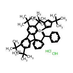 CCC1C=C(C(C)(C)C)C=[C]1[Zr](=[C](c1ccccc1)c1ccccc1)[c]1c2c(cc(C(C)(C)C)c1C(C)(C)C)-c1cc(C(C)(C)C)c(C(C)(C)C)cc1C2.Cl.Cl